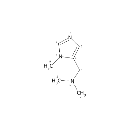 CN(C)Cc1cncn1C